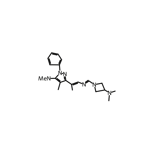 CNc1c(C)c(/C(C)=C/N=C/N2CC(N(C)C)C2)nn1-c1ccccc1